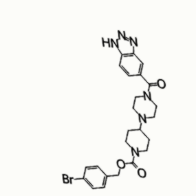 O=C(OCc1ccc(Br)cc1)N1CCC(N2CCN(C(=O)c3ccc4[nH]nnc4c3)CC2)CC1